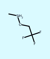 C[SiH2]OCC(F)(F)F